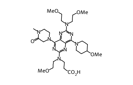 COCCN(CCC(=O)O)c1nc(N2CCN(C)C(=O)C2)c2nc(N(CCOC)CCOC)nc(N3CCC(OC)CC3)c2n1